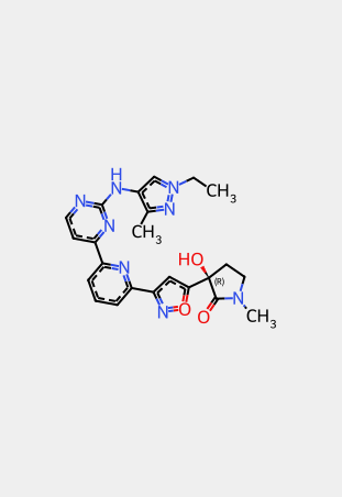 CCn1cc(Nc2nccc(-c3cccc(-c4cc([C@]5(O)CCN(C)C5=O)on4)n3)n2)c(C)n1